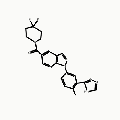 Cc1ccc(-n2ncc3cc(C(=O)N4CCC(F)(F)CC4)cnc32)cc1-c1nnc[nH]1